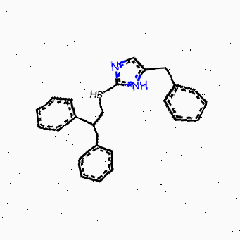 B(CC(c1ccccc1)c1ccccc1)c1ncc(Cc2ccccc2)[nH]1